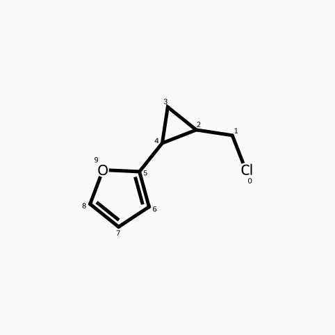 ClCC1CC1c1ccco1